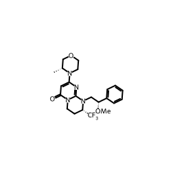 CO[C@H](CN1c2nc(N3CCOC[C@H]3C)cc(=O)n2CC[C@H]1C(F)(F)F)c1ccccc1